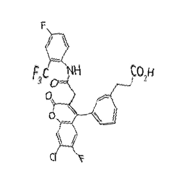 O=C(O)CCc1cccc(-c2c(CC(=O)Nc3ccc(F)cc3C(F)(F)F)c(=O)oc3cc(Cl)c(F)cc23)c1